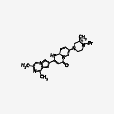 Cc1cn2cc(C3=CC(=O)N4C=C(N5CCN(C(C)C)[C@H](C)C5)C=CC4P3)cc2c(C)n1